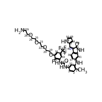 Cc1ccc(NC(=O)Nc2cc(C(F)(F)F)cc(OCCOCCOCCOCCN)c2F)cc1Nc1ccc2c(c1)NC(=O)/C2=C\c1ccc[nH]1